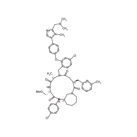 COC[C@@H]1NC(=O)[C@H](C)N(Cc2ccc(Cl)cc2Oc2ccc(-c3cnc(CN(C)C)n3C)cc2)C(=O)C[C@@H](Cc2cccc(C)n2)C(=O)N2CCCC[C@@](Cc3ccc(Cl)cc3)(C2)NC1=O